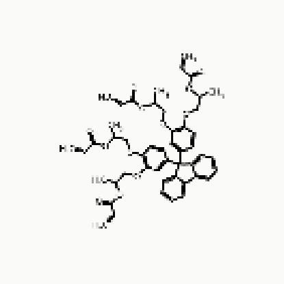 C=CC(=O)OC(C)COc1ccc(C2(c3ccc(OCC(C)OC(=O)C=C)c(OCC(C)OC(=O)C=C)c3)c3ccccc3-c3ccccc32)cc1OCC(C)OC(=O)C=C